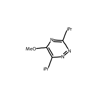 COc1nc(C(C)C)nnc1C(C)C